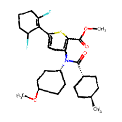 COC(=O)c1sc(C2=C(F)CCCC2F)cc1N(C(=O)[C@H]1CC[C@H](C)CC1)[C@H]1CC[C@H](OC)CC1